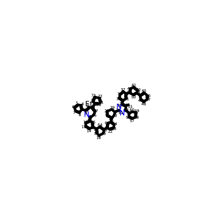 CCC1=C(c2ccccc2)N=C(c2cccc(C3=CCCC(c4cccc(C5=CCCC(c6nc(-c7cccc(-c8cccc(-c9ccccc9)c8)c7)c(C)c(C7C=CC=CC7)n6)C5)c4)=C3)c2)CC=C1c1ccccc1